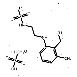 CCc1c(C)cccc1NCCNS(C)(=O)=O.O.O=S(=O)(O)O